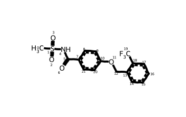 CS(=O)(=O)NC(=O)c1ccc(OCc2ccccc2C(F)(F)F)cc1